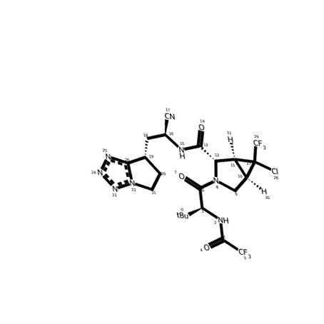 CC(C)(C)[C@H](NC(=O)C(F)(F)F)C(=O)N1C[C@H]2[C@@H]([C@H]1C(=O)N[C@H](C#N)C[C@@H]1CCn3nnnc31)C2(Cl)C(F)(F)F